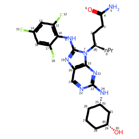 CCC[C@H](CCC(N)=O)n1c(Nc2c(F)cc(F)cc2F)nc2cnc(N[C@H]3CCC[C@@H](O)C3)nc21